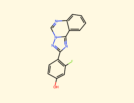 Oc1ccc(-c2nc3c4ccccc4ncn3n2)c(F)c1